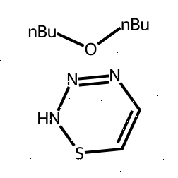 C1=CSNN=N1.CCCCOCCCC